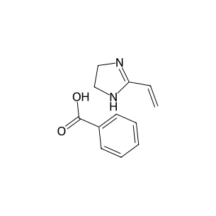 C=CC1=NCCN1.O=C(O)c1ccccc1